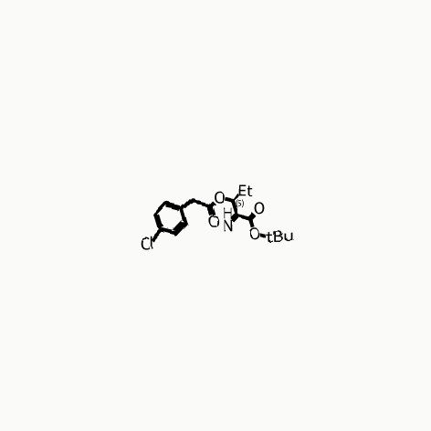 CC[C@H](OC(=O)Cc1ccc(Cl)cc1)C(=N)C(=O)OC(C)(C)C